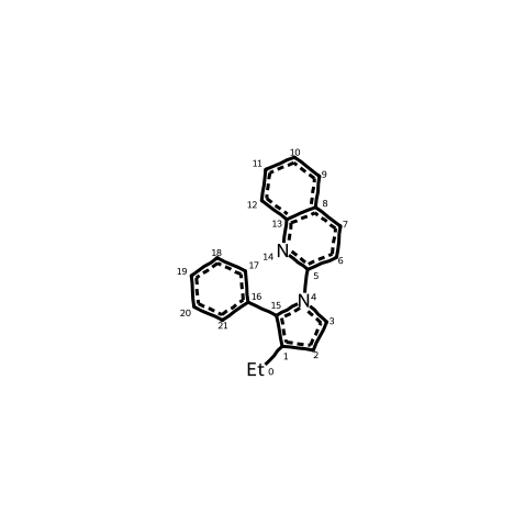 CCc1ccn(-c2ccc3ccccc3n2)c1-c1ccccc1